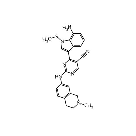 CSn1cc(-c2nc(Nc3ccc4c(c3)CN(C)CC4)ncc2C#N)c2cccc(N)c21